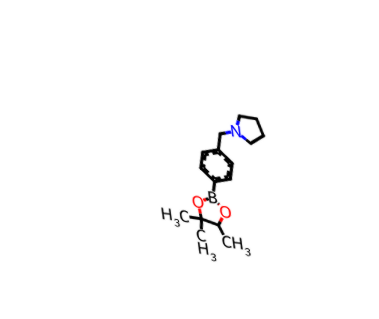 CC1OB(c2ccc(CN3CCCC3)cc2)OC1(C)C